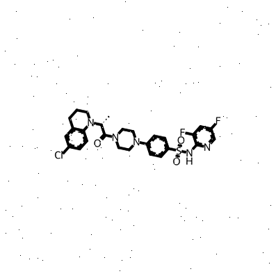 C[C@H](C(=O)N1CCN(c2ccc(S(=O)(=O)Nc3ncc(F)cc3F)cc2)CC1)N1CCCc2cc(Cl)ccc21